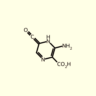 NC1=C(C(=O)O)N=CC(=C=O)N1